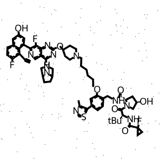 C#Cc1c(F)ccc2cc(O)cc(-c3ncc4c(N5CC6CCC(C5)N6)nc(OC5CCN(CCCCCCOc6cc(-c7scnc7C)ccc6CNC(=O)[C@@H]6C[C@@H](O)CN6C(=O)[C@@H](NC(=O)C6(F)CC6)C(C)(C)C)CC5)nc4c3F)c12